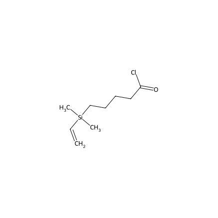 C=C[Si](C)(C)CCCCC(=O)Cl